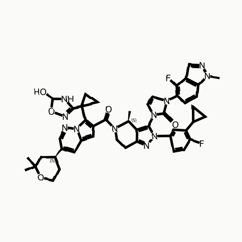 C[C@H]1c2c(nn(-c3ccc(F)c(C4CC4)c3)c2-n2ccn(-c3ccc4c(cnn4C)c3F)c2=O)CCN1C(=O)c1cc2cc([C@H]3CCOC(C)(C)C3)cnn2c1C1(C2=NOC(O)N2)CC1